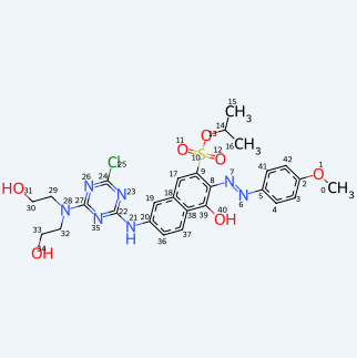 COc1ccc(N=Nc2c(S(=O)(=O)OC(C)C)cc3cc(Nc4nc(Cl)nc(N(CCO)CCO)n4)ccc3c2O)cc1